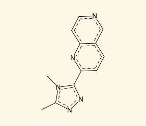 Cc1nnc(-c2ccc3cnccc3n2)n1C